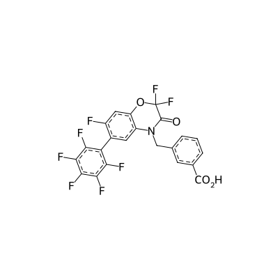 O=C(O)c1cccc(CN2C(=O)C(F)(F)Oc3cc(F)c(-c4c(F)c(F)c(F)c(F)c4F)cc32)c1